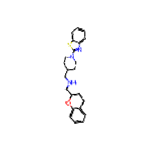 c1ccc2c(c1)CCC(CNCC1CCN(c3nc4ccccc4s3)CC1)O2